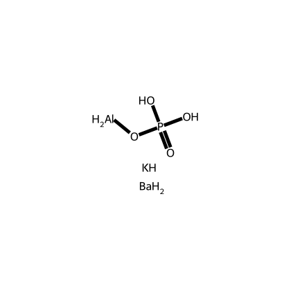 O=P(O)(O)[O][AlH2].[BaH2].[KH]